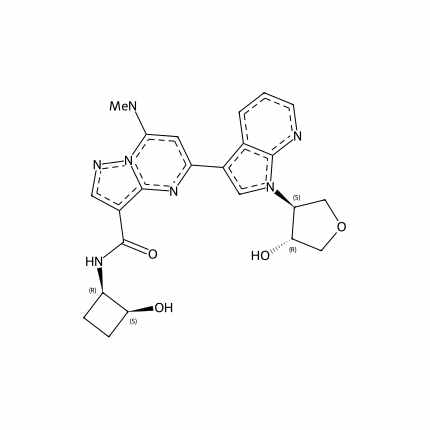 CNc1cc(-c2cn([C@H]3COC[C@@H]3O)c3ncccc23)nc2c(C(=O)N[C@@H]3CC[C@@H]3O)cnn12